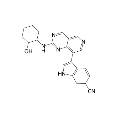 N#Cc1ccc2c(-c3cncc4cnc(NC5CCCCC5O)nc34)c[nH]c2c1